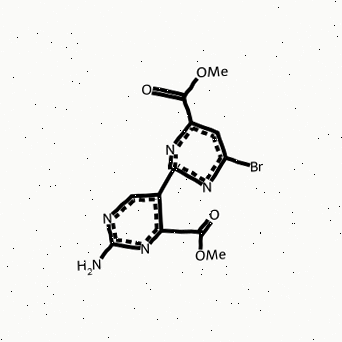 COC(=O)c1cc(Br)nc(-c2cnc(N)nc2C(=O)OC)n1